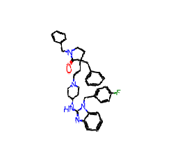 O=C1N(Cc2ccccc2)CCC1(CCN1CCC(Nc2nc3ccccc3n2Cc2ccc(F)cc2)CC1)Cc1ccccc1